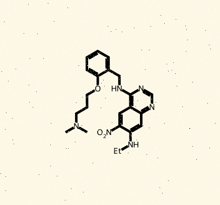 CCNc1cc2ncnc(NCc3ccccc3OCCCN(C)C)c2cc1[N+](=O)[O-]